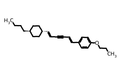 CCCC[C@H]1CC[C@H](/C=C/C#C/C=C/c2ccc(OCCC)cc2)CC1